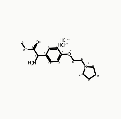 COC(=O)C(N)c1ccc(OCCN2CCCC2)cc1.Cl.Cl